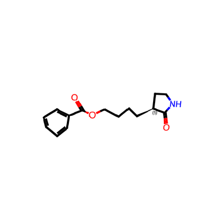 O=C(OCCCC[C@H]1CCNC1=O)c1ccccc1